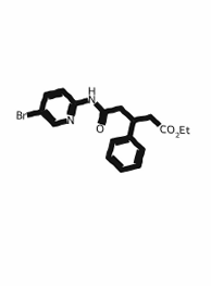 CCOC(=O)CC(CC(=O)Nc1ccc(Br)cn1)c1ccccc1